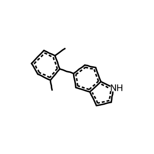 Cc1cccc(C)c1-c1ccc2[nH]ccc2c1